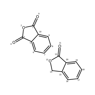 O=C1OC(=O)c2ccccc21.O=C1OCc2ccccc21